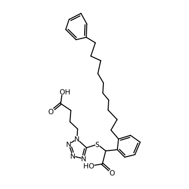 O=C(O)CCCn1nnnc1SC(C(=O)O)c1ccccc1CCCCCCCCCCc1ccccc1